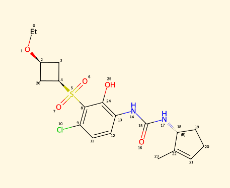 CCO[C@H]1C[C@@H](S(=O)(=O)c2c(Cl)ccc(NC(=O)N[C@@H]3CCC=C3C)c2O)C1